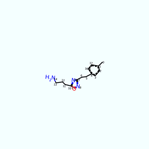 Cc1ccc(CCc2noc(CCCN)n2)cc1